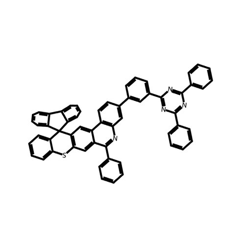 c1ccc(-c2nc(-c3ccccc3)nc(-c3cccc(-c4ccc5c(c4)nc(-c4ccccc4)c4cc6c(cc45)C4(c5ccccc5S6)c5ccccc5-c5ccccc54)c3)n2)cc1